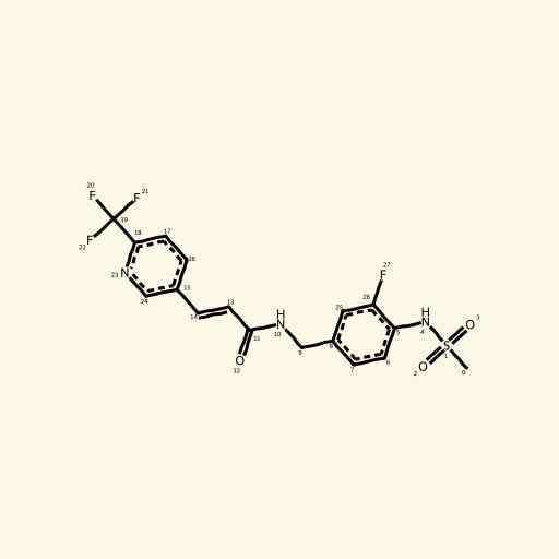 CS(=O)(=O)Nc1ccc(CNC(=O)C=Cc2ccc(C(F)(F)F)nc2)cc1F